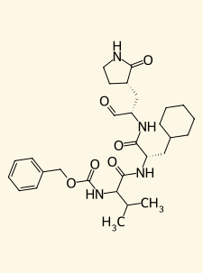 CC(C)C(NC(=O)OCc1ccccc1)C(=O)N[C@@H](CC1CCCCC1)C(=O)N[C@H](C=O)C[C@@H]1CCNC1=O